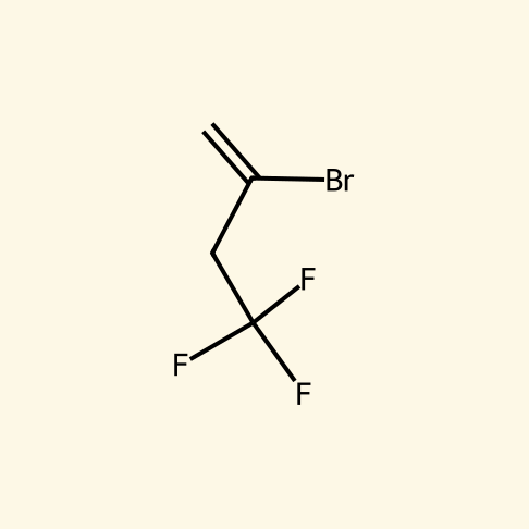 C=C(Br)CC(F)(F)F